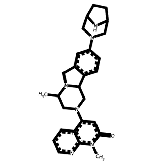 CC1CN(c2cc(=O)n(C)c3ncccc23)CC2c3ccc(N4CC5CCC(C4)N5)cc3CN12